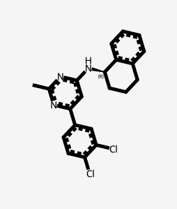 Cc1nc(N[C@@H]2CCCc3ccccc32)cc(-c2ccc(Cl)c(Cl)c2)n1